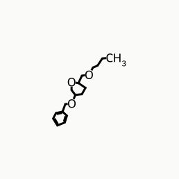 CCCCOCC1CCC(OCc2ccccc2)CO1